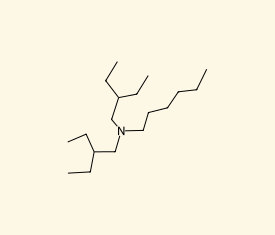 CCCCCCN(CC(CC)CC)CC(CC)CC